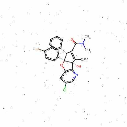 COC1=C(C(=O)N(C)C)[C@@H](c2ccccc2)[C@]2(c3ccc(Br)cc3)Oc3cc(Cl)cnc3[C@]12O